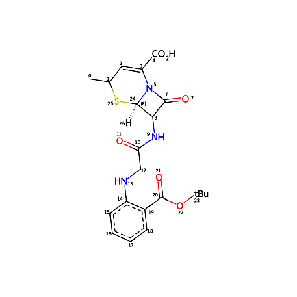 CC1C=C(C(=O)O)N2C(=O)C(NC(=O)CNc3ccccc3C(=O)OC(C)(C)C)[C@H]2S1